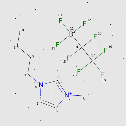 CCCCn1cc[n+](C)c1.F[B-](F)(F)C(F)(F)C(F)(F)F